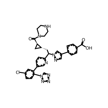 O=C(O)c1ccc(-c2cnn(C(C[C@@H]3C[C@H]3C(=O)N3CCNCC3)c3ccc(-c4cc(Cl)ccc4-n4cnnn4)cn3)c2)cc1